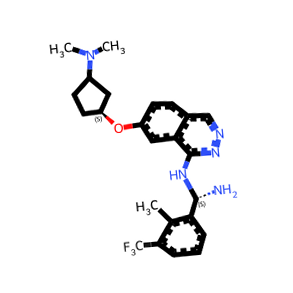 Cc1c([C@@H](N)Nc2nncc3ccc(O[C@H]4CCC(N(C)C)C4)cc23)cccc1C(F)(F)F